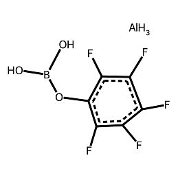 OB(O)Oc1c(F)c(F)c(F)c(F)c1F.[AlH3]